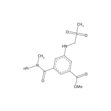 CCCN(C)C(=O)c1cc(NCS(C)(=O)=O)cc(C(=O)OC)c1